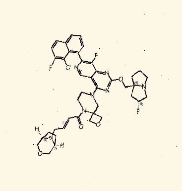 O=C(/C=C/CN1[C@@H]2CC[C@H]1COC2)N1CCN(c2nc(OC[C@@]34CCCN3C[C@H](F)C4)nc3c(F)c(-c4cccc5ccc(F)c(Cl)c45)ncc23)CC12COC2